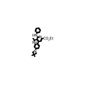 CCOC(=O)c1cc(-c2ccc(N3CC(C)(C)C3)cc2)c(C(C)=N)c(Nc2ccccc2)n1